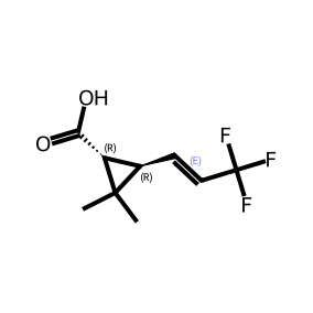 CC1(C)[C@H](/C=C/C(F)(F)F)[C@H]1C(=O)O